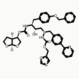 O=C(NN(Cc1ccc(-c2ccccn2)cc1)C[C@H](O)[C@H](Cc1ccc(OCc2ccccc2)cc1)NC(=O)O[C@H]1CO[C@H]2OCC[C@H]21)OCc1cnco1